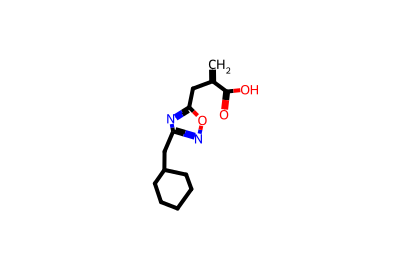 C=C(Cc1nc(CC2CCCCC2)no1)C(=O)O